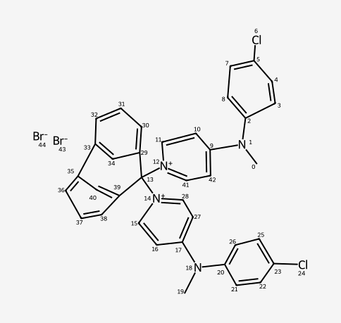 CN(c1ccc(Cl)cc1)c1cc[n+](C2([n+]3ccc(N(C)c4ccc(Cl)cc4)cc3)c3cccc(c3)-c3cccc2c3)cc1.[Br-].[Br-]